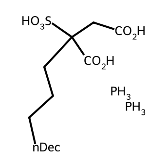 CCCCCCCCCCCCCC(CC(=O)O)(C(=O)O)S(=O)(=O)O.P.P